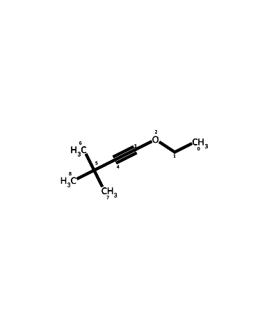 CCOC#CC(C)(C)C